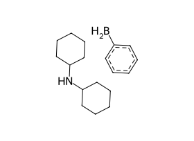 Bc1ccccc1.C1CCC(NC2CCCCC2)CC1